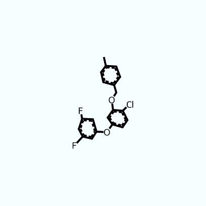 Cc1ccc(COc2cc(Oc3cc(F)cc(F)c3)ccc2Cl)cc1